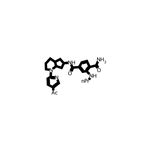 CCCNc1cc(C(=O)NC2CC3CCCN(c4ccc(C(C)=O)cn4)C3C2)ccc1C(N)=O